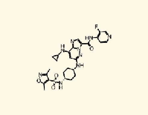 Cc1noc(C)c1S(=O)(=O)N[C@H]1CC[C@H](Nc2cc(NC3CC3)c3ncc(C(=O)Nc4ccncc4F)n3n2)CC1